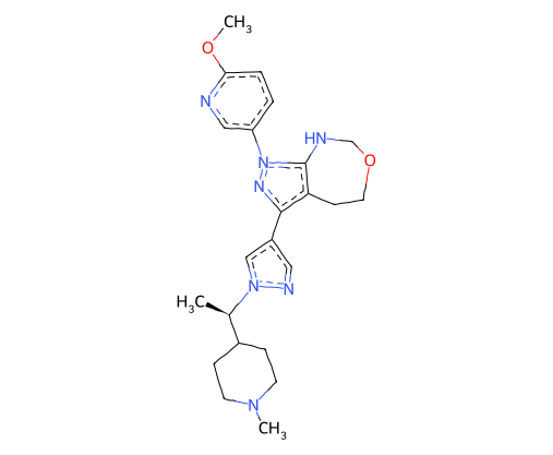 COc1ccc(-n2nc(-c3cnn([C@H](C)C4CCN(C)CC4)c3)c3c2NCOCC3)cn1